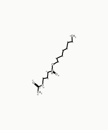 CCCCCCCCO[PH](=O)CCCOC(C)=O